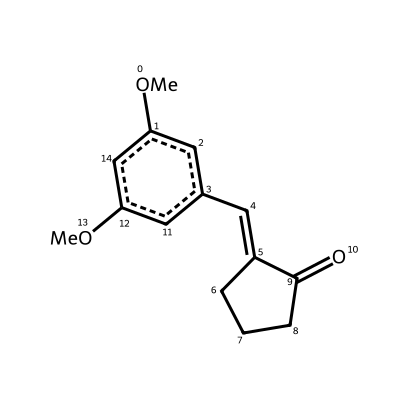 COc1cc(/C=C2\CCCC2=O)cc(OC)c1